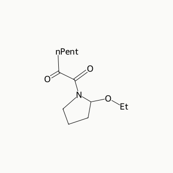 CCCCCC(=O)C(=O)N1CCCC1OCC